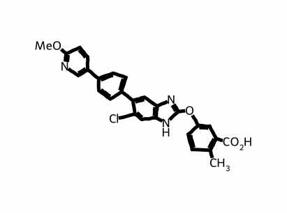 COc1ccc(-c2ccc(-c3cc4nc(Oc5ccc(C)c(C(=O)O)c5)[nH]c4cc3Cl)cc2)cn1